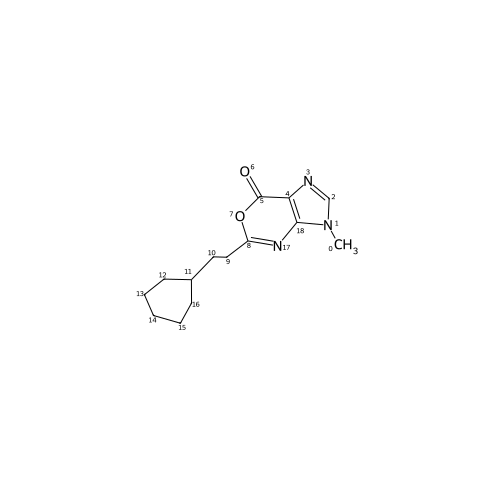 Cn1cnc2c(=O)oc(CCC3CCCCC3)nc21